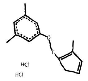 CC1=[C]([Ti][O]c2cc(C)cc(C)c2)CC=C1.Cl.Cl